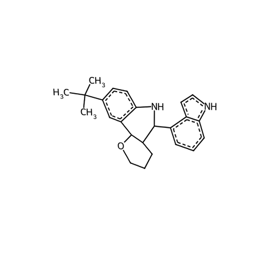 CC(C)(C)c1ccc2c(c1)C1OCCCC1C(c1cccc3[nH]ccc13)N2